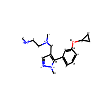 CNCCN(C)Cc1cnn(C)c1-c1cccc(OC2CC2)c1